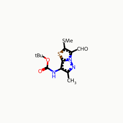 CSc1sc2c(NC(=O)OC(C)(C)C)c(C)nn2c1C=O